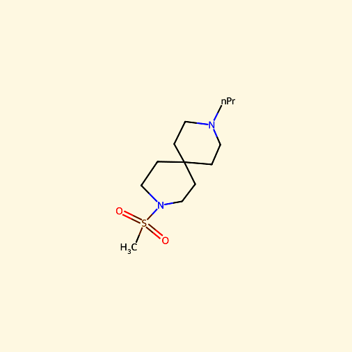 CCCN1CCC2(CC1)CCN(S(C)(=O)=O)CC2